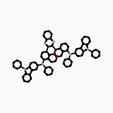 c1ccc(N(c2ccc3c(c2)c2ccccc2n3-c2ccccc2)c2cccc3c(-c4nc5ccccc5nc4-c4ccc(N(c5ccccc5)c5ccc6c(c5)c5ccccc5n6-c5ccccc5)c5ccccc45)cccc23)cc1